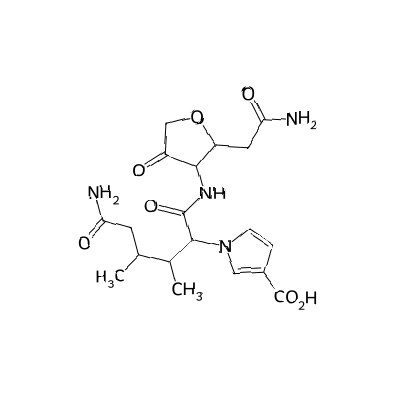 CC(CC(N)=O)C(C)C(C(=O)NC1C(=O)COC1CC(N)=O)n1ccc(C(=O)O)c1